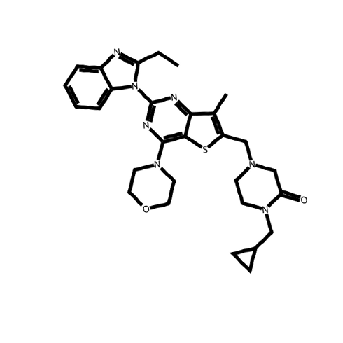 CCc1nc2ccccc2n1-c1nc(N2CCOCC2)c2sc(CN3CCN(CC4CC4)C(=O)C3)c(C)c2n1